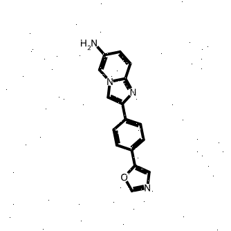 Nc1ccc2nc(-c3ccc(-c4cnco4)cc3)cn2c1